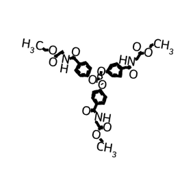 CCOC(=O)CNC(=O)c1ccc(OP(Oc2ccc(C(=O)NCC(=O)OCC)cc2)Oc2ccc(C(=O)NCC(=O)OCC)cc2)cc1